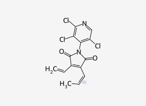 C=CC1=C(/C=C\C)C(=O)N(c2c(Cl)cnc(Cl)c2Cl)C1=O